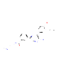 COc1cc(-c2nc(-c3cccc(C(=O)NCCN(C)C)c3)cnc2N)ccc1O